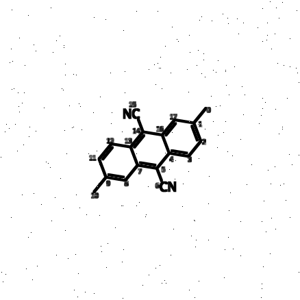 Cc1ccc2c(C#N)c3cc(C)ccc3c(C#N)c2c1